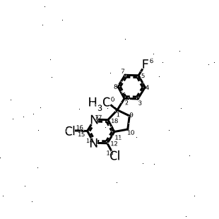 CC1(c2ccc(F)cc2)CCc2c(Cl)nc(Cl)nc21